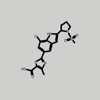 Cc1nc(-c2cc(Cl)c3[nH]c(C4CCCN4S(C)(=O)=O)cc3c2)sc1C(=O)O